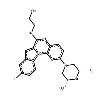 C[C@@H]1CN(c2ccc3nc(NCCO)c4cc5cc(F)ccc5n4c3n2)C[C@H](C)N1